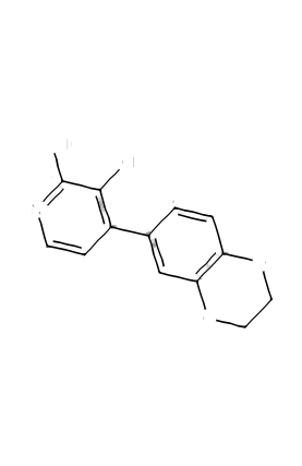 Cc1c(-c2ccc3c(c2)OCCO3)ccnc1C=O